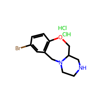 Brc1ccc2c(c1)CN1CCNCC1CO2.Cl.Cl